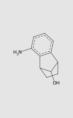 Nc1cccc2c1C1CCC2C1O